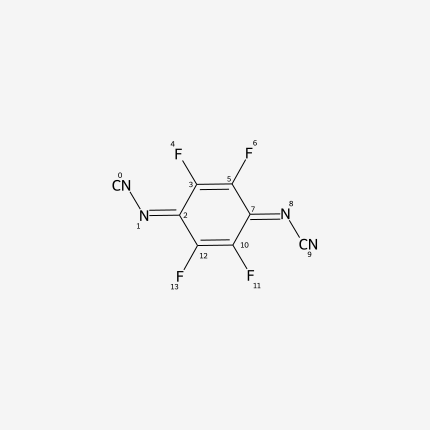 [C-]#[N+]N=C1C(F)=C(F)C(=NC#N)C(F)=C1F